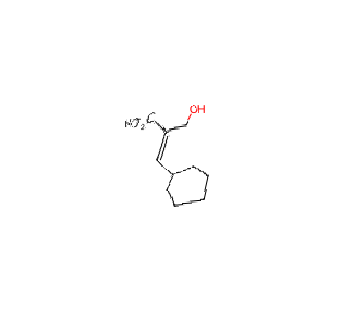 O=C(O)C(=CC1CCCCC1)CO